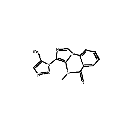 Cn1c(=O)c2ccccc2n2cnc(-n3nncc3C(C)(C)C)c12